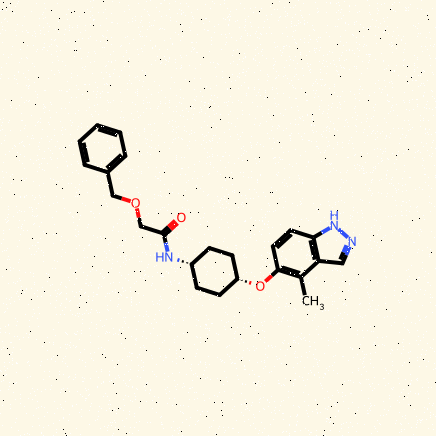 Cc1c(O[C@H]2CC[C@@H](NC(=O)COCc3ccccc3)CC2)ccc2[nH]ncc12